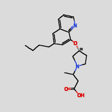 CCCCc1cc(O[C@@H]2CCN(C(C)CC(=O)O)C2)c2ncccc2c1